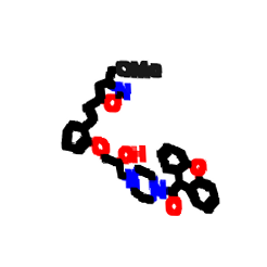 COCc1cc(/C=C/c2ccccc2OCC(O)CN2CCN(C(=O)C3c4ccccc4Oc4ccccc43)CC2)on1